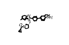 Cc1ccc2nc(-c3ccc(-c4ccc5[nH]ncc5c4)cc3)n(C[C@@H]3CCN(C(=O)C4CC4)C3)c2c1